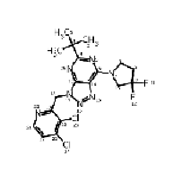 CC(C)(C)c1nc(N2CCC(F)(F)C2)c2nnn(Cc3nccc(Cl)c3Cl)c2n1